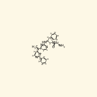 CN(c1ccnc(NC(CNC(=O)CN)Cc2ccccc2)n1)c1ccnc(-c2ccccc2)n1